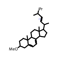 COC1CCC2(C)C(=CC=C3C2CCC2(C)C3CCC2C(C)/C=C/C(C)C(C)C)C1